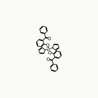 O=C(c1ccccc1)c1ccccc1[O][Zr]([O]c1ccccc1C(=O)c1ccccc1)([CH]1C=CC=C1)[CH]1C=CC=C1